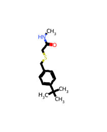 CNC(=O)CSCc1ccc(C(C)(C)C)cc1